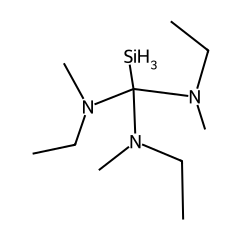 CCN(C)C([SiH3])(N(C)CC)N(C)CC